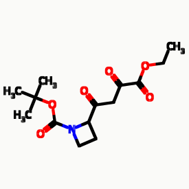 CCOC(=O)C(=O)CC(=O)C1CCN1C(=O)OC(C)(C)C